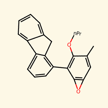 CCCOc1c(C)cc2c(c1-c1cccc3c1Cc1ccccc1-3)O2